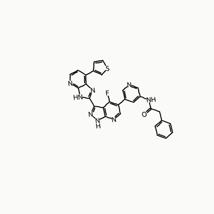 O=C(Cc1ccccc1)Nc1cncc(-c2cnc3[nH]nc(-c4nc5c(-c6ccsc6)ccnc5[nH]4)c3c2F)c1